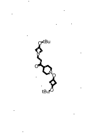 CC(C)(C)OC1CC(ON2CCC(C(=O)CCN3CC(OC(C)(C)C)C3)CC2)C1